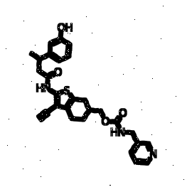 C#Cc1c(NC(=O)CC(C)c2cccc(O)c2)sc2c1CCC(COC(=O)NCc1cccnc1)C2